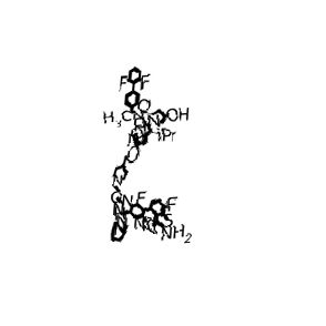 CC(C)[C@@H](C(=O)N1C[C@H](O)C[C@H]1C(=O)N[C@@H](C)c1ccc(-c2c(F)cccc2F)cc1)c1cc(OCC2CCN(CCOc3nc(N4CC5CCC(C4)N5)c4cc(Cl)c(-c5ccc(F)c6sc(N)c(C#N)c56)c(F)c4n3)CC2)no1